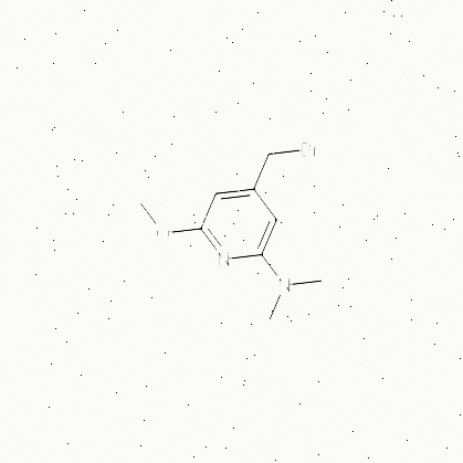 COc1cc(CBr)cc(N(C)C)n1